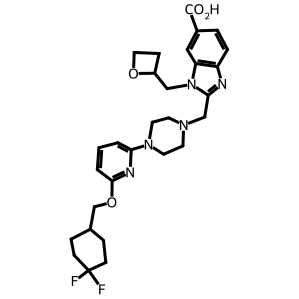 O=C(O)c1ccc2nc(CN3CCN(c4cccc(OCC5CCC(F)(F)CC5)n4)CC3)n(CC3CCO3)c2c1